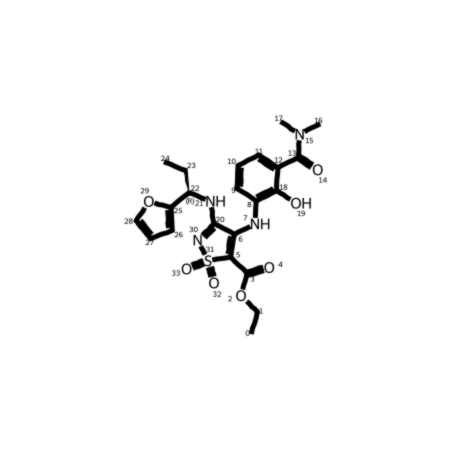 CCOC(=O)C1=C(Nc2cccc(C(=O)N(C)C)c2O)C(N[C@H](CC)c2ccco2)=NS1(=O)=O